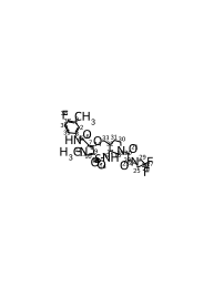 Cc1cc(NC(=O)c2c3c(cn2C)S(=O)(=O)NC2CN(C(=O)C(=O)N4CC(F)(F)C4)CCC2CO3)ccc1F